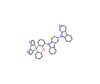 c1ccc2c(c1)Oc1c(-n3c4ccccc4c4cc(-n5c6ccccc6c6ccncc65)ccc43)cccc1C21c2cccnc2-c2ncccc21